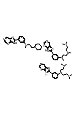 CN(C)CCN(C)CCN(C)c1cccc(-c2nc3cncnc3[nH]2)c1.CN(C)CCN(CCN(C)C)c1cccc(-c2nc3cncnc3[nH]2)c1.CN(CCN1CCCCC1)c1cccc(-c2nc3cncnc3[nH]2)c1